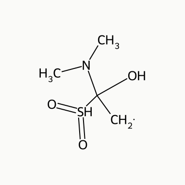 [CH2]C(O)(N(C)C)[SH](=O)=O